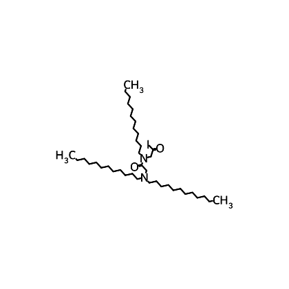 CCCCCCCCCCCCN(CCCCCCCCCCCC)CC(=O)N(CCCCCCCCCCCC)CC(=O)I